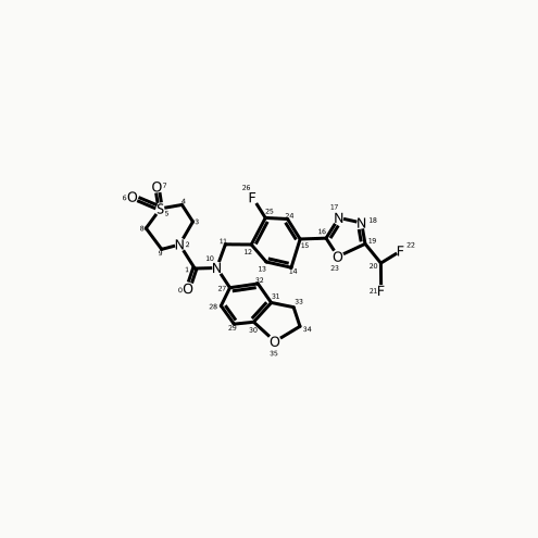 O=C(N1CCS(=O)(=O)CC1)N(Cc1ccc(-c2nnc(C(F)F)o2)cc1F)c1ccc2c(c1)CCO2